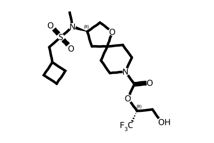 CN([C@H]1COC2(CCN(C(=O)O[C@H](CO)C(F)(F)F)CC2)C1)S(=O)(=O)CC1CCC1